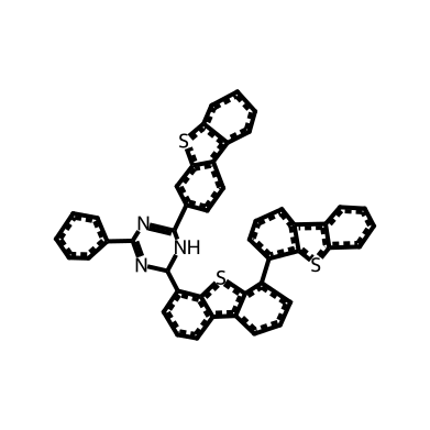 c1ccc(C2=NC(c3cccc4c3sc3c(-c5cccc6c5sc5ccccc56)cccc34)NC(c3ccc4c(c3)sc3ccccc34)=N2)cc1